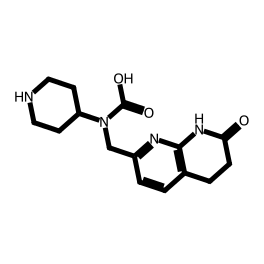 O=C1CCc2ccc(CN(C(=O)O)C3CCNCC3)nc2N1